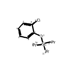 CC(C)[Si](Oc1ccccc1Cl)(C(C)C)C(C)C